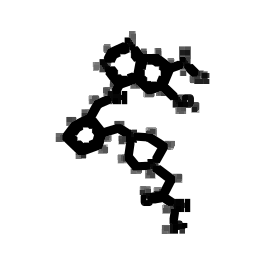 CCNc1cc2ncnc(NCc3ccccc3CN3CCN(CC(=O)NC(C)C)CC3)c2cc1[N+](=O)[O-]